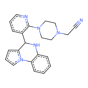 N#CCN1CCN(c2ncccc2C2Nc3ccccc3-n3cccc32)CC1